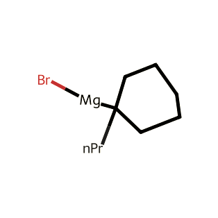 CCC[C]1([Mg][Br])CCCCC1